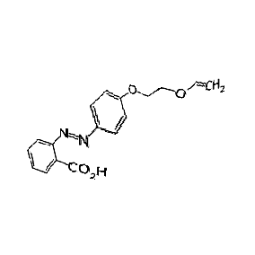 C=COCCOc1ccc(/N=N/c2ccccc2C(=O)O)cc1